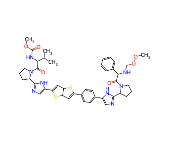 COOCNC(C(=O)N1CCCC1c1ncc(-c2ccc(C3=CC4SC(c5cnc(C6CCCN6C(=O)C(NC(=O)OC)C(C)C)[nH]5)=CC4S3)cc2)[nH]1)c1ccccc1